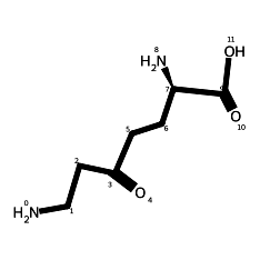 NCCC(=O)CC[C@@H](N)C(=O)O